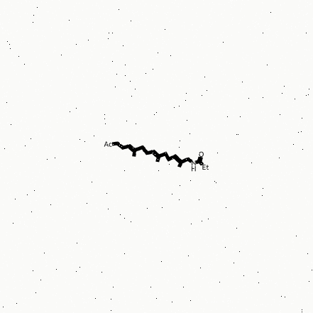 CCC(=O)NC/C(C)=C/CC/C(C)=C/CC/C(C)=C/CCC(C)=O